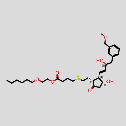 CCCCCCOCCOC(=O)CCCSCC[C@H]1C(=O)C[C@@H](O)[C@@H]1C=C[C@@H](O)Cc1cccc(COC)c1